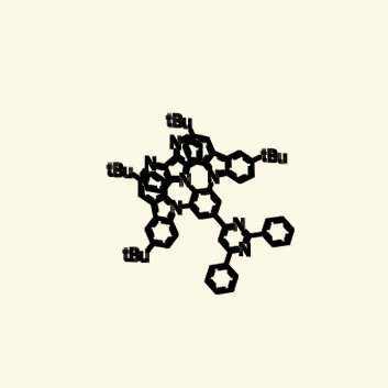 CC(C)(C)c1ccc2c(c1)c1cc(C(C)(C)C)ccc1n2-c1cc(-c2cc(-c3ccccc3)nc(-c3ccccc3)n2)cc(-n2c3ccc(C(C)(C)C)cc3c3cc(C(C)(C)C)ccc32)c1-n1c2cccnc2c2ncccc21